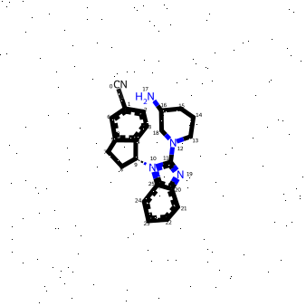 N#Cc1ccc2c(c1)CC[C@H]2n1c(N2CCCC(N)C2)nc2ccccc21